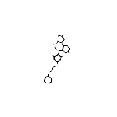 CCN1CN(c2c(F)cc(NCCNC3CCOCC3)cc2F)C2CC(Cl)CCC2C2CC(Cl)CNC21